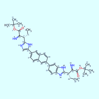 CC[C@@H](C(=N)C(=O)OC(C)(C)C)c1ncc(-c2ccc3cc(-c4ccc5nc([C@@H](CC)C(=N)C(=O)OC(C)(C)C)[nH]c5c4)ccc3c2)[nH]1